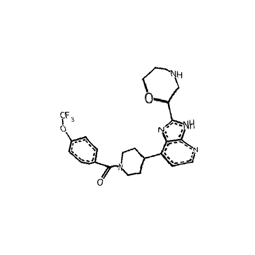 O=C(c1ccc(OC(F)(F)F)cc1)N1CCC(c2ccnc3[nH]c(C4CNCCO4)nc23)CC1